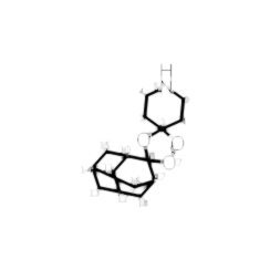 C1CC2(CCN1)OOC1(O2)C2CC3CC(C2)CC1C3